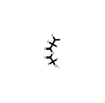 O=C(OC(=O)C(F)(F)C(F)(F)F)C(F)(F)C(F)F